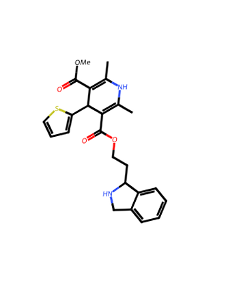 COC(=O)C1=C(C)NC(C)=C(C(=O)OCCC2NCc3ccccc32)C1c1cccs1